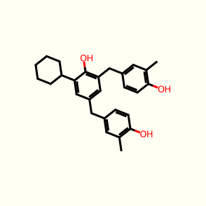 Cc1cc(Cc2cc(Cc3ccc(O)c(C)c3)c(O)c(C3CCCCC3)c2)ccc1O